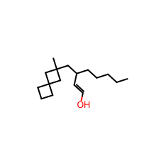 CCCCCC(C=CO)CC1(C)CC2(CCC2)C1